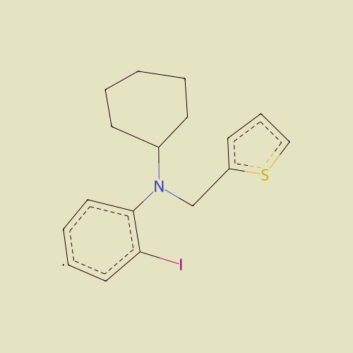 Ic1c[c]ccc1N(Cc1cccs1)C1CCCCC1